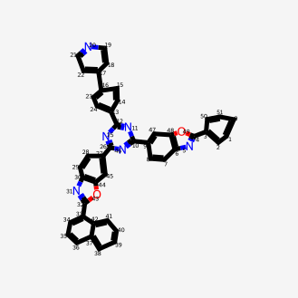 c1ccc(-c2nc3ccc(-c4nc(-c5ccc(-c6ccncc6)cc5)nc(-c5ccc6nc(-c7cccc8ccccc78)oc6c5)n4)cc3o2)cc1